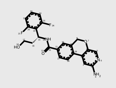 Nc1cc2c(cn1)OCc1cc(C(=O)N[C@H](CCO)c3c(F)cccc3F)ccc1-2